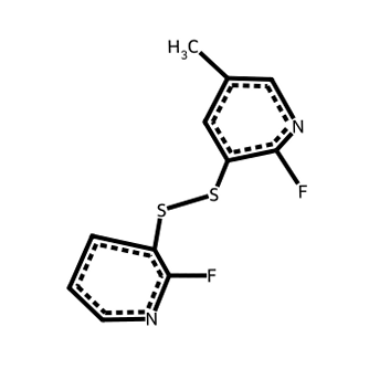 Cc1cnc(F)c(SSc2cccnc2F)c1